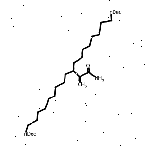 C=C(C(N)=O)C(CCCCCCCCCCCCCCCCCC)CCCCCCCCCCCCCCCCCCC